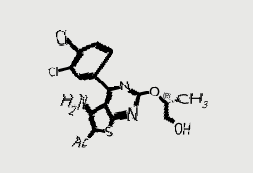 CC(=O)c1sc2nc(O[C@H](C)CO)nc(-c3ccc(Cl)c(Cl)c3)c2c1N